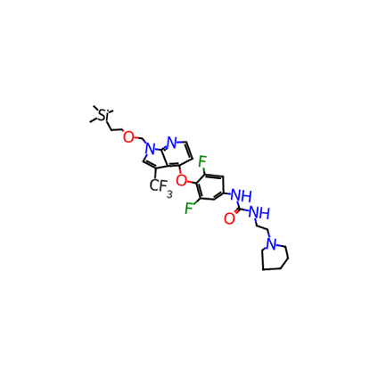 C[Si](C)(C)CCOCn1cc(C(F)(F)F)c2c(Oc3c(F)cc(NC(=O)NCCN4CCCCC4)cc3F)ccnc21